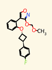 COCOc1nocc1-c1ccccc1O[C@H]1C[C@H](c2ccc(F)cc2)C1